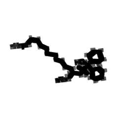 CCCCCCC/C=C\CCCCCCCCC(CCCCCCCCC)CC(C)(C)[Si](O)(c1ccccc1)c1ccccc1